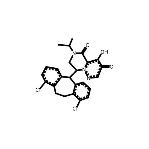 CC(C)N1CC(C2c3cccc(Cl)c3CCc3c(Cl)cccc32)n2ncc(=O)c(O)c2C1=O